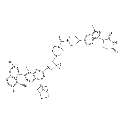 C#Cc1c(F)ccc2cc(O)cc(-c3ncc4c(N5CC6CCC(C5)N6)nc(OCC5(CN6CCN(C(=O)N7CCC(c8ccc9c(C%10CCC(=O)NC%10=O)nn(C)c9c8)CC7)CC6)CC5)nc4c3F)c12